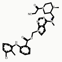 Cc1c(Cl)cccc1Nc1ccccc1C(=O)OCn1ccc2c(/[N+](C)=C\C3CN(C(=O)CC#N)CC[C@H]3C)ncnc21